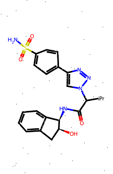 CC(C)C(C(=O)N[C@@H]1c2ccccc2C[C@@H]1O)n1cc(-c2ccc(S(N)(=O)=O)cc2)nn1